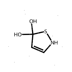 OC1(O)C=CNS1